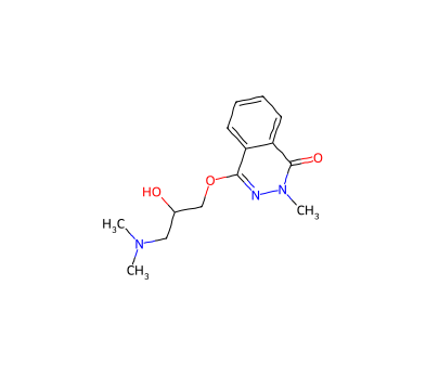 CN(C)CC(O)COc1nn(C)c(=O)c2ccccc12